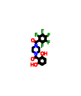 O=C(c1c(O)cccc1O)N1CCN(C(=O)c2c(F)c(F)c(F)c(F)c2F)CC1